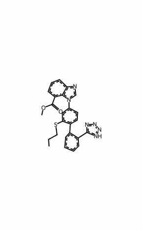 CCCSc1cc(-n2cnc3cccc(C(=O)OC)c32)ccc1-c1ccccc1-c1nnn[nH]1